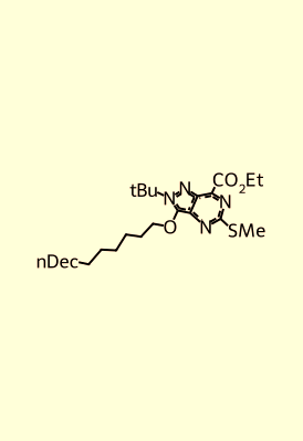 CCCCCCCCCCCCCCCCOc1c2nc(SC)nc(C(=O)OCC)c2nn1C(C)(C)C